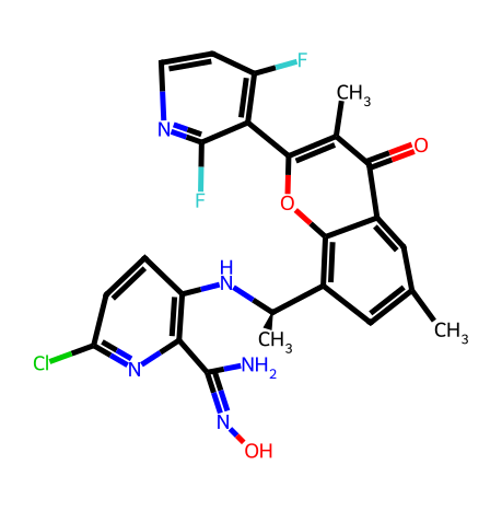 Cc1cc([C@@H](C)Nc2ccc(Cl)nc2/C(N)=N/O)c2oc(-c3c(F)ccnc3F)c(C)c(=O)c2c1